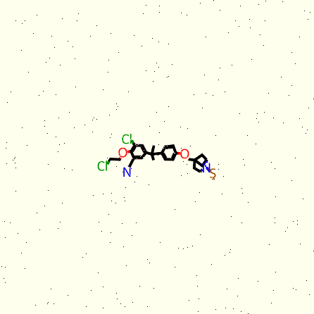 CSN1CCC2(COc3ccc(C(C)(C)c4cc(Cl)c(OCCCl)c(C#N)c4)cc3)CC1C2